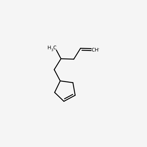 [CH]=CCC(C)CC1CC=CC1